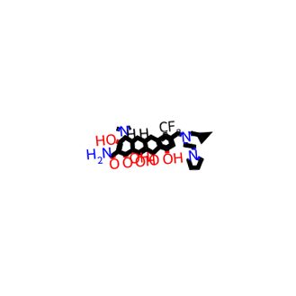 CN(C)[C@@H]1C(O)=C(C(N)=O)C(=O)[C@@]2(O)C(O)=C3C(=O)c4c(O)cc(CN(CCN5CCCC5)CC5CC5)c(C(F)(F)F)c4C[C@H]3C[C@@H]12